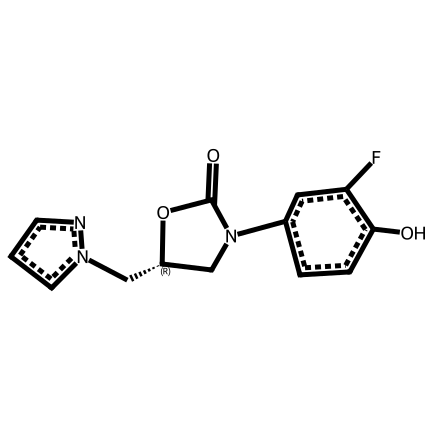 O=C1O[C@@H](Cn2cccn2)CN1c1ccc(O)c(F)c1